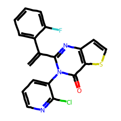 C=C(c1ccccc1F)c1nc2ccsc2c(=O)n1-c1cccnc1Cl